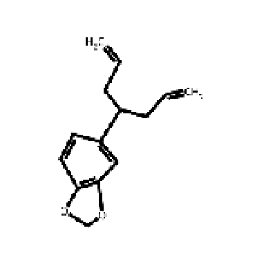 C=CC[C](CC=C)c1ccc2c(c1)OCO2